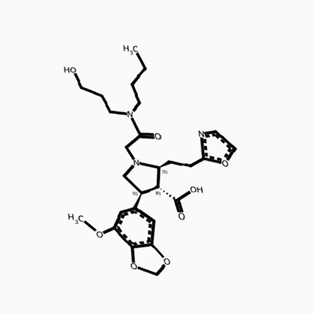 CCCCN(CCCO)C(=O)CN1C[C@H](c2cc(OC)c3c(c2)OCO3)[C@@H](C(=O)O)[C@@H]1CCc1ncco1